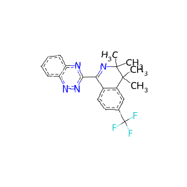 CC1(C)N=C(c2nnc3ccccc3n2)c2ccc(C(F)(F)F)cc2C1(C)C